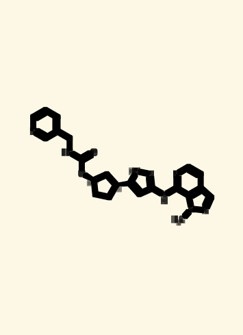 Cn1ncc2ccnc(Nc3cc([C@H]4CC[C@@H](OC(=O)NCc5cccnc5)C4)[nH]n3)c21